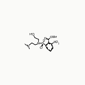 COC(=O)c1c([N+](=O)[O-])cccc1S(=O)(=O)N(CCO)CCN(C)C